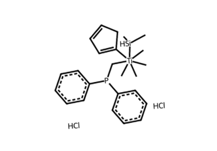 C[SiH](C)[Ti]([CH3])([CH3])([CH3])([CH3])([CH2]P(c1ccccc1)c1ccccc1)[C]1=CC=CC1.Cl.Cl